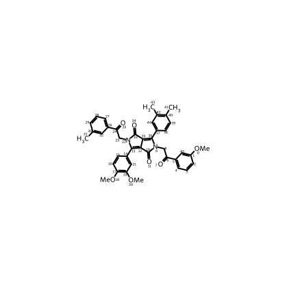 COc1cccc(C(=O)CN2C(=O)C3=C(c4ccc(OC)c(OC)c4)N(CC(=O)c4cccc(C)c4)C(=O)C3=C2c2ccc(C)c(C)c2)c1